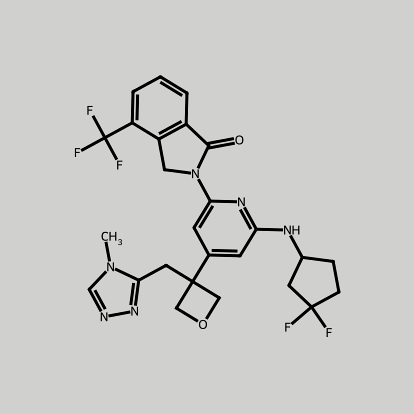 Cn1cnnc1CC1(c2cc(NC3CCC(F)(F)C3)nc(N3Cc4c(cccc4C(F)(F)F)C3=O)c2)COC1